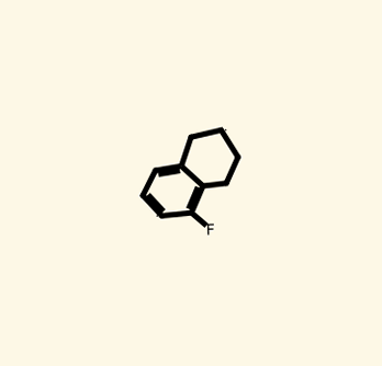 Fc1[c]ccc2c1CC[CH]C2